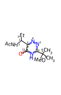 CCC(NC(C)=O)c1nnc(C(C)(C)OC)[nH]c1=O